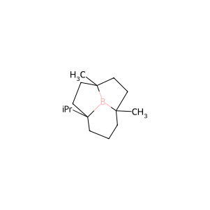 CC(C)C12CCCC3(C)CCC(C)(CC1)B32